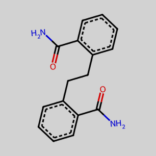 NC(=O)c1ccccc1CCc1ccccc1C(N)=O